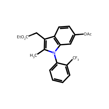 CCOC(=O)Cc1c(C)n(-c2ccccc2C(F)(F)F)c2cc(OC(C)=O)ccc12